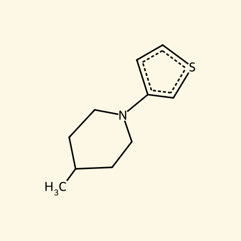 CC1CCN(c2ccsc2)CC1